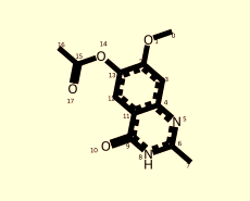 COc1cc2nc(C)[nH]c(=O)c2cc1OC(C)=O